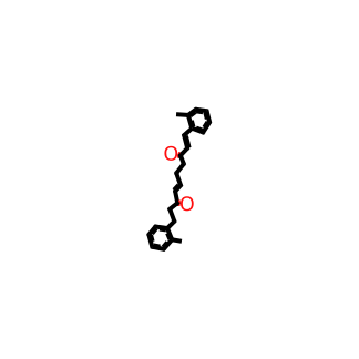 Cc1ccccc1C=CC(=O)CCC=CC(=O)CCc1ccccc1C